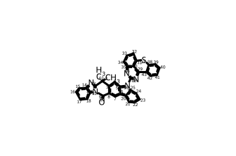 CC1(C)c2cc3c(cc2C(=O)n2c1nc1ccccc12)c1ccccc1n3-c1nc2c3c(cccc3n1)Sc1ccccc1-2